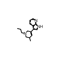 CCCN1CC(c2c[nH]c3ncccc23)=CC(C)C1